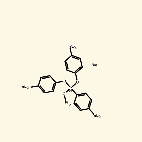 CCCCCCCCCc1ccc(O[PH](OP)(Oc2ccc(CCCCCCCCC)cc2)c2ccc(CCCCCCCCC)cc2)cc1.[NaH]